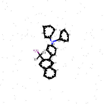 CCC(P)(CC)c1cc2ccccc2cc1-c1ccc(N(c2ccccc2)c2ccccc2)cc1